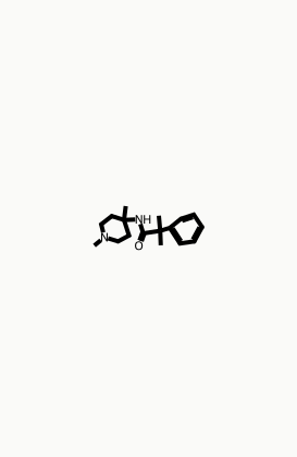 CN1CCC(C)(NC(=O)C(C)(C)c2ccccc2)CC1